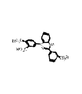 CCOC(=O)c1cccc(C(=O)Nc2ccccc2Oc2ccc(C(=O)OCC)c(C(=O)O)c2)c1